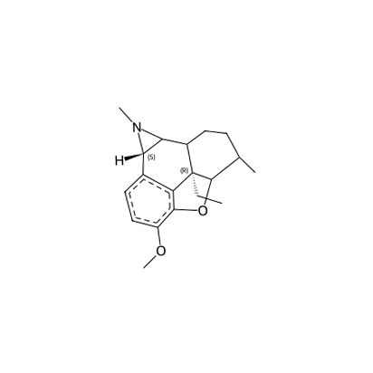 CC[C@@]12c3c4ccc(OC)c3OC1C(C)CCC2C1[C@H]4N1C